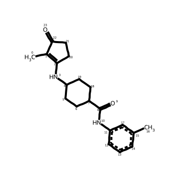 CC1=C(NC2CCC(C(=O)Nc3cccc(C)c3)CC2)CCC1=O